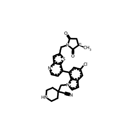 C[C@@H]1CC(=O)N(Cc2cc3nccc(-c4cc(Cl)cc5ccn(CC6(C#N)CCNCC6)c45)c3s2)C1=O